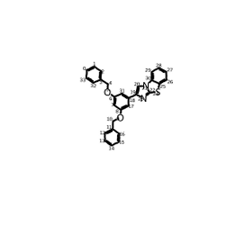 c1ccc(COc2cc(OCc3ccccc3)cc(-c3cn4c(n3)sc3ccccc34)c2)cc1